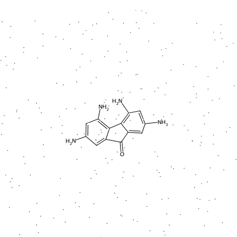 Nc1cc(N)c2c(c1)C(=O)c1cc(N)cc(N)c1-2